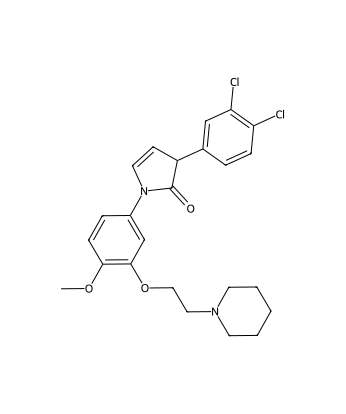 COc1ccc(N2C=CC(c3ccc(Cl)c(Cl)c3)C2=O)cc1OCCN1CCCCC1